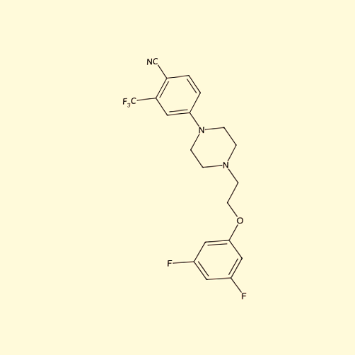 N#Cc1ccc(N2CCN(CCOc3cc(F)cc(F)c3)CC2)cc1C(F)(F)F